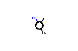 Cc1cc(C#N)ccc1[NH]